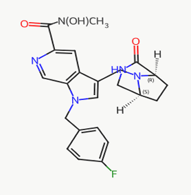 CN(O)C(=O)c1cc2c(CN3[C@H]4CC[C@@H]3C(=O)NC4)cn(Cc3ccc(F)cc3)c2cn1